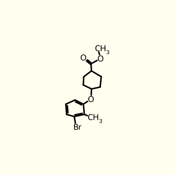 COC(=O)C1CCC(Oc2cccc(Br)c2C)CC1